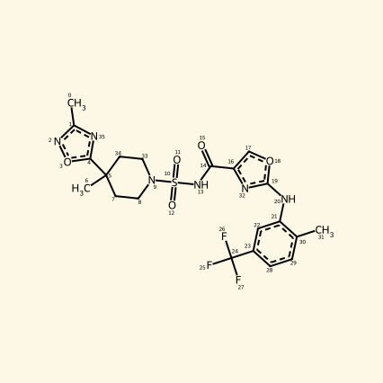 Cc1noc(C2(C)CCN(S(=O)(=O)NC(=O)c3coc(Nc4cc(C(F)(F)F)ccc4C)n3)CC2)n1